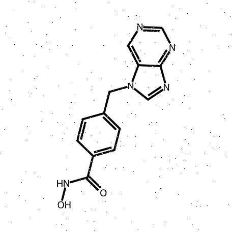 O=C(NO)c1ccc(Cn2cnc3ncncc32)cc1